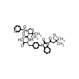 CC(C)(C)CC(=O)n1c(=O)n(-c2ccc(C[C@H](NC(=O)[C@H]3N(S(=O)(=O)c4cccnc4)CSC3(C)C)C(=O)O)cc2)c2ccccc21